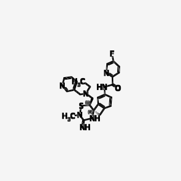 CCN(Cc1cccnc1)C[C@@H]1SN(C)C(=N)N[C@@]12Cc1ccc(NC(=O)c3ccc(F)cn3)cc12